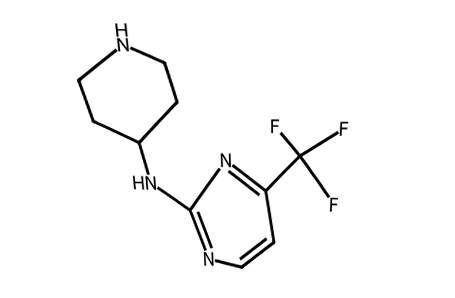 FC(F)(F)c1ccnc(NC2CCNCC2)n1